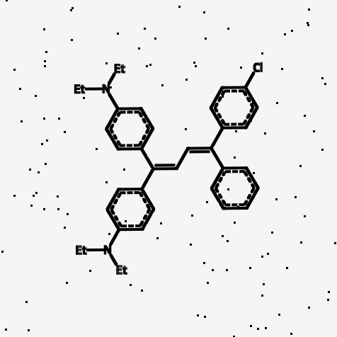 CCN(CC)c1ccc(C(=C/C=C(\c2ccccc2)c2ccc(Cl)cc2)c2ccc(N(CC)CC)cc2)cc1